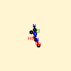 C[C@@](O)(CN1CCN(c2ccc(C#N)cc2Cl)C(c2ccccc2)C1)c1ccc(COC2CCCCO2)nc1